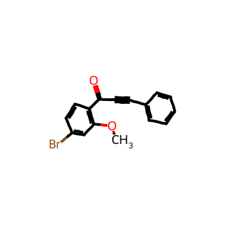 COc1cc(Br)ccc1C(=O)C#Cc1ccccc1